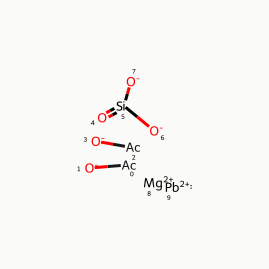 CC(=O)[O-].CC(=O)[O-].O=[Si]([O-])[O-].[Mg+2].[Pb+2]